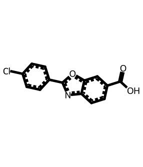 O=C(O)c1ccc2nc(-c3ccc(Cl)cc3)oc2c1